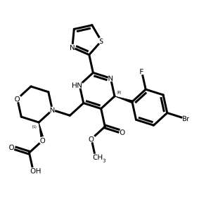 COC(=O)C1=C(CN2CCOC[C@@H]2OC(=O)O)NC(c2nccs2)=N[C@H]1c1ccc(Br)cc1F